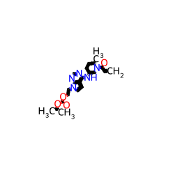 C=CC(=O)N1C[C@@H](Nc2ncnc3c2ccn3CCOC(=O)OC(C)C)CC[C@@H]1C